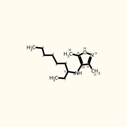 CCCCCCC(CC)Nc1c(C)noc1C